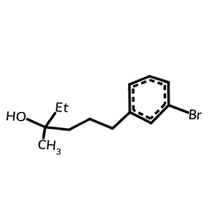 CCC(C)(O)CCCc1cccc(Br)c1